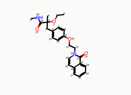 CCOC(C)(Cc1ccc(OCCn2ccc3ccccc3c2=O)cc1)C(=O)NC